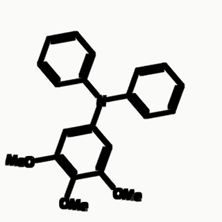 COc1cc(N(c2ccccc2)c2ccccc2)cc(OC)c1OC